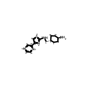 N[C@H]1CC[C@H](CNc2nc(-c3cnccn3)cs2)CC1